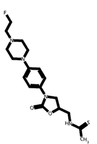 CC(=S)NCC1CN(c2ccc(N3CCN(CCF)CC3)cc2)C(=O)O1